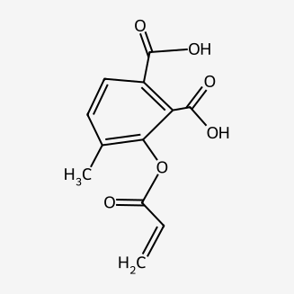 C=CC(=O)Oc1c(C)ccc(C(=O)O)c1C(=O)O